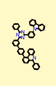 c1ccc(-c2nc(-c3cccc(-c4ccc(-c5cccc6c(-c7ccccc7)nc7ccccc7c56)cc4)c3)nc(-c3cccc(-n4c5ccccc5c5ccccc54)c3)n2)cc1